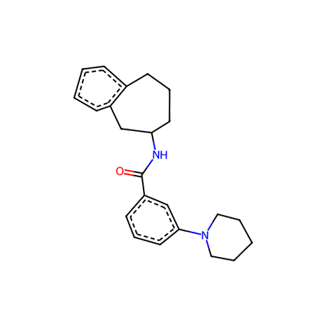 O=C(NC1CCCc2ccccc2C1)c1cccc(N2CCCCC2)c1